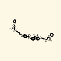 C=C(CC(=O)OC1CCCCC1)C(=O)OCCCCCCOc1ccc(C(=O)Oc2ccc3c(c2)C(C)c2cc(OCCCOC(=O)C(=C)CC(=O)OC4CCCCC4)ccc2-3)cc1